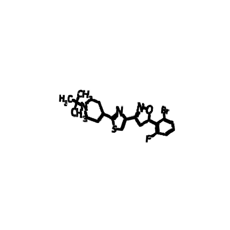 CC(C)(C)N1CCC(c2nc(C3=NOC(c4c(F)cccc4Br)C3)cs2)CC1